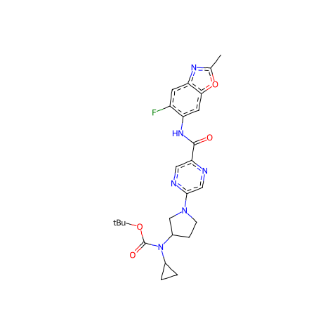 Cc1nc2cc(F)c(NC(=O)c3cnc(N4CCC(N(C(=O)OC(C)(C)C)C5CC5)C4)cn3)cc2o1